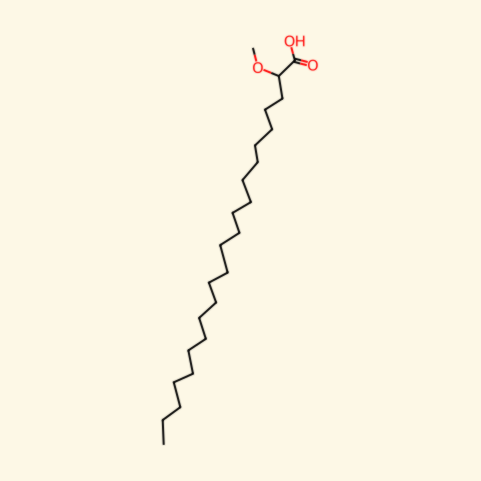 CCCCCCCCCCCCCCCCCCCCCC(OC)C(=O)O